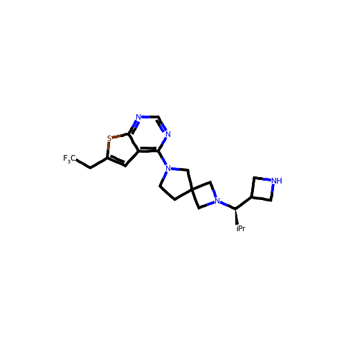 CC(C)[C@H](C1CNC1)N1CC2(CCN(c3ncnc4sc(CC(F)(F)F)cc34)C2)C1